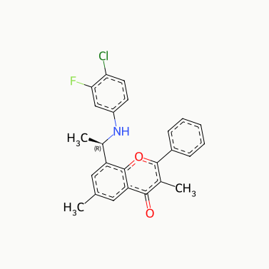 Cc1cc([C@@H](C)Nc2ccc(Cl)c(F)c2)c2oc(-c3ccccc3)c(C)c(=O)c2c1